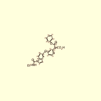 CCNC(=O)n1ccc2cc(Oc3ccnc(N(C(=O)O)C(=O)Oc4ccccc4)c3)ccc21